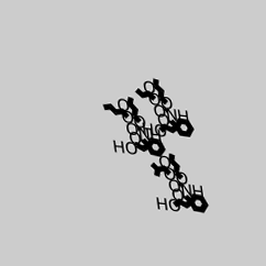 CCCC(=O)OC(CCC)OC(=O)NCC1(CC(=O)O)CCCCC1.CCCC(OC(=O)CC)OC(=O)NCC1(CC(=O)O)CCCCC1.CCCC(OC(=O)NCC1(CC(=O)O)CCCCC1)OC(=O)C(C)C